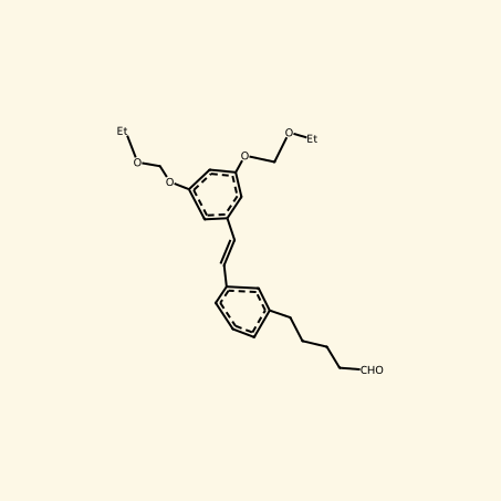 CCOCOc1cc(C=Cc2cccc(CCCCC=O)c2)cc(OCOCC)c1